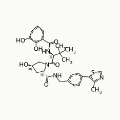 Cc1ncsc1-c1ccc(CNC(=O)[C@@H]2C[C@@H](O)CN2C(=O)[C@@H](NC(=O)c2cccc(O)c2O)C(C)(C)C)cc1